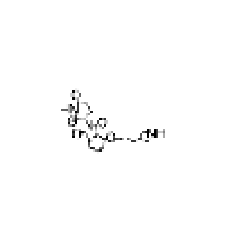 O=C1CCC(N2C(=O)c3cccc(OCCCC4CNC4)c3C2=O)C(=O)N1